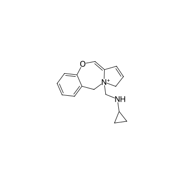 C1=CC2=COc3ccccc3C[N+]2(CNC2CC2)C1